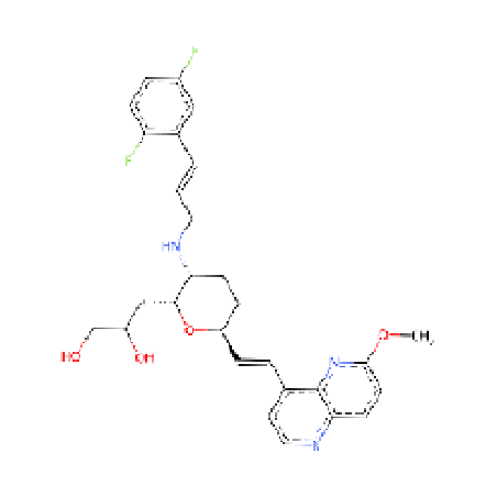 COc1ccc2nccc(/C=C/[C@@H]3CC[C@@H](NC/C=C/c4cc(F)ccc4F)[C@@H](CC(O)CO)O3)c2n1